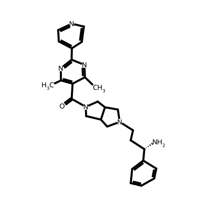 Cc1nc(-c2ccncc2)nc(C)c1C(=O)N1CC2CN(CC[C@H](N)c3ccccc3)CC2C1